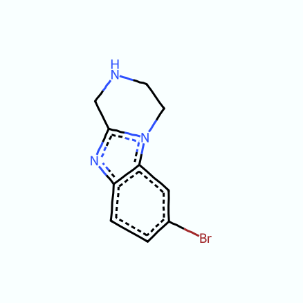 Brc1ccc2nc3n(c2c1)CCNC3